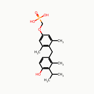 Cc1cc(OCP(=O)(O)O)cc(C)c1Cc1ccc(O)c(C(C)C)c1C